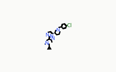 Cc1nn2c([C@@H]3CCCN(Cc4ccc(Cl)cc4)C3)ccnc2c1CN(C)CC1CC1